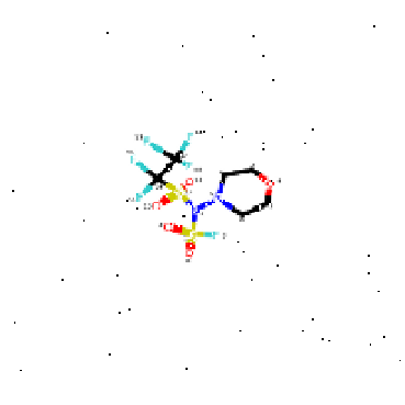 O=S(=O)(F)N(N1CCOCC1)S(=O)(=O)C(F)(F)C(F)(F)F